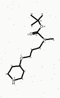 CN(CCCOC1CCNCC1)C(=O)OC(C)(C)C